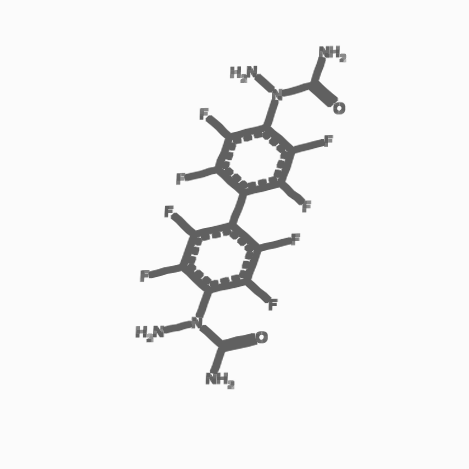 NC(=O)N(N)c1c(F)c(F)c(-c2c(F)c(F)c(N(N)C(N)=O)c(F)c2F)c(F)c1F